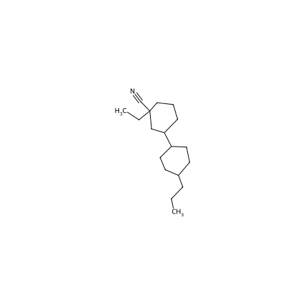 CCCC1CCC(C2CCCC(C#N)(CC)C2)CC1